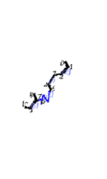 C\C=C/C=C\C=N/C(C)=C/C